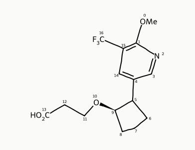 COc1ncc(C2CCC[C@H]2OCCC(=O)O)cc1C(F)(F)F